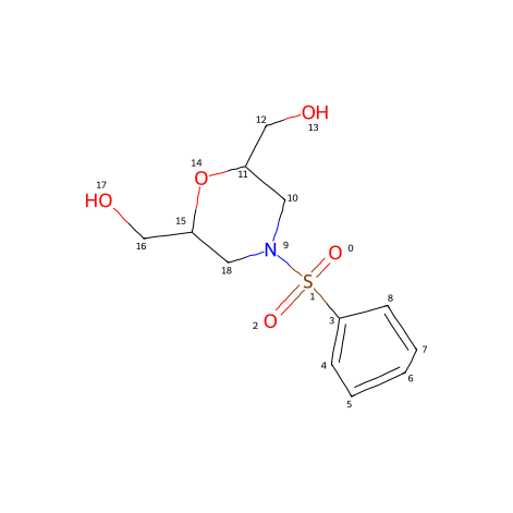 O=S(=O)(c1ccccc1)N1CC(CO)OC(CO)C1